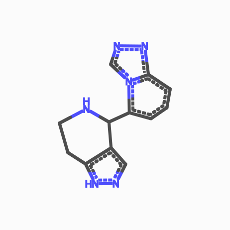 c1cc(C2NCCc3[nH]ncc32)n2cnnc2c1